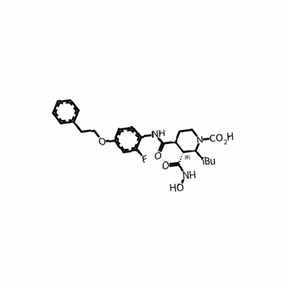 CCC(C)C1[C@H](C(=O)NO)C(C(=O)Nc2ccc(OCCc3ccccc3)cc2F)CCN1C(=O)O